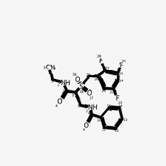 N#CCNC(=O)C(CNC(=O)c1ccccc1)S(=O)(=O)Cc1cc(F)cc(F)c1F